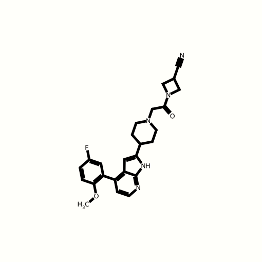 COc1ccc(F)cc1-c1ccnc2[nH]c(C3CCN(CC(=O)N4CC(C#N)C4)CC3)cc12